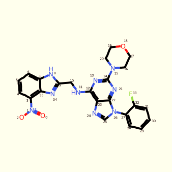 O=[N+]([O-])c1cccc2[nH]c(CNc3nc(N4CCOCC4)nc4c3ncn4-c3ccccc3F)nc12